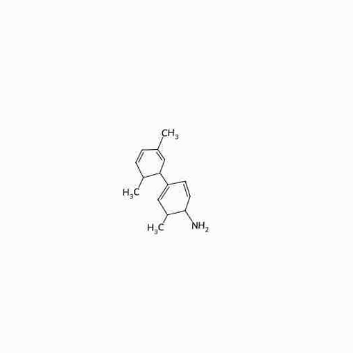 CC1=CC(C2=CC(C)C(N)C=C2)C(C)C=C1